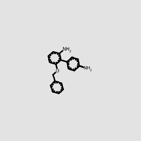 Nc1ccc(-c2c(N)cccc2OCc2ccccc2)cc1